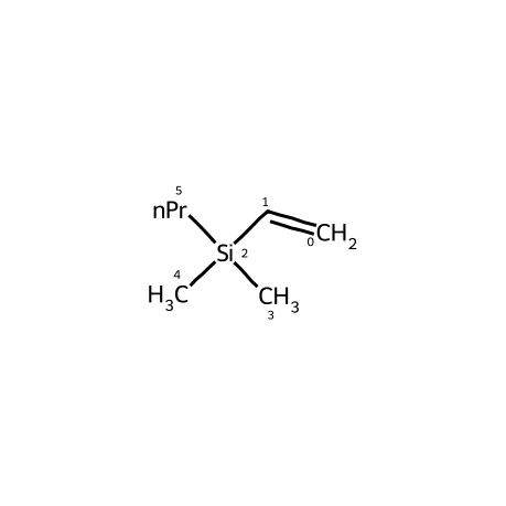 C=C[Si](C)(C)CCC